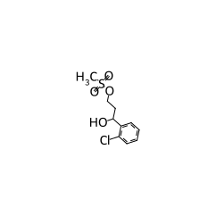 CS(=O)(=O)OCCC(O)c1ccccc1Cl